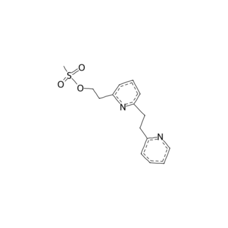 CS(=O)(=O)OCCc1cccc(CCc2ccccn2)n1